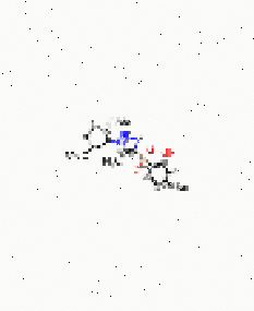 COc1ccc(OC)c(-n2nnc(S(=O)(=O)c3ccc(C(C)(C)C)cc3O)c2C)c1